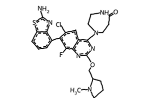 CN1CCCC1COc1nc(N2CCNC(=O)CC2)c2cc(Cl)c(-c3cccc4sc(N)nc34)c(F)c2n1